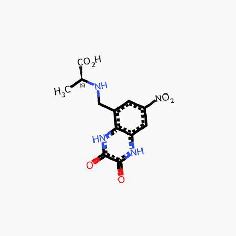 C[C@H](NCc1cc([N+](=O)[O-])cc2[nH]c(=O)c(=O)[nH]c12)C(=O)O